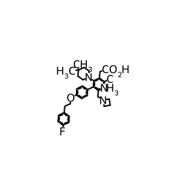 Cc1nc(CN2CCC2)c(-c2ccc(OCCc3ccc(F)cc3)cc2)c(N2CCC(C)(C)CC2)c1CC(=O)O